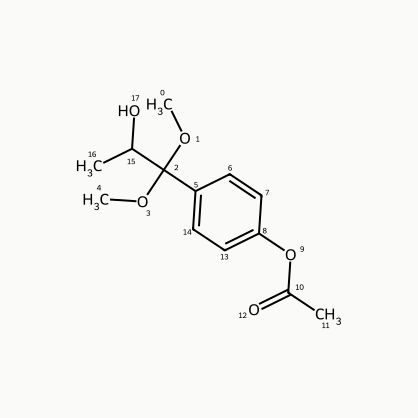 COC(OC)(c1ccc(OC(C)=O)cc1)C(C)O